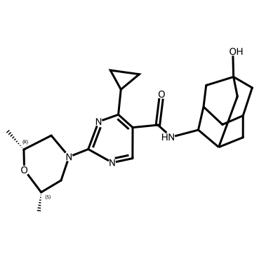 C[C@@H]1CN(c2ncc(C(=O)NC3C4CC5CC3CC(O)(C5)C4)c(C3CC3)n2)C[C@H](C)O1